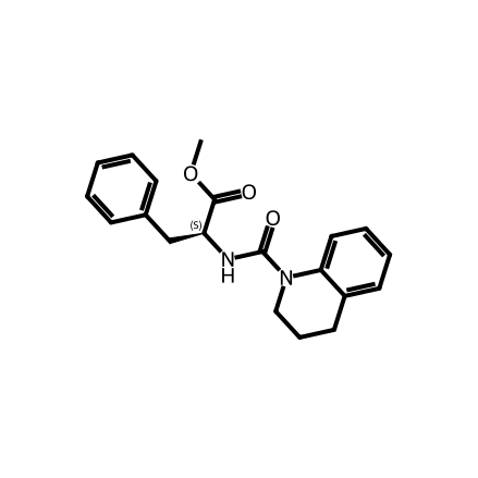 COC(=O)[C@H](Cc1ccccc1)NC(=O)N1CCCc2ccccc21